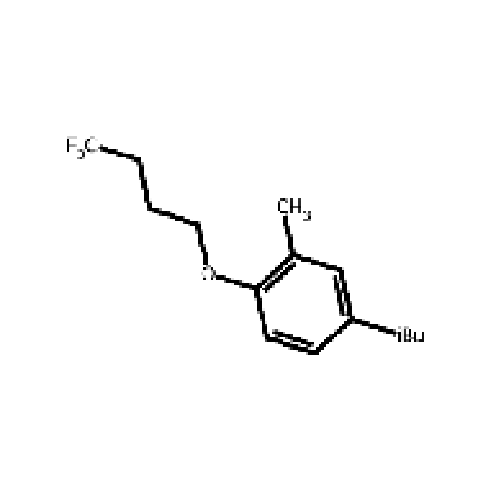 CCC(C)c1ccc(OCCCC(F)(F)F)c(C)c1